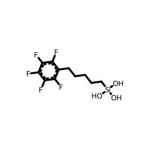 O[Si](O)(O)CCCCCc1c(F)c(F)c(F)c(F)c1F